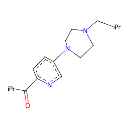 CC(C)CN1CCN(c2ccc(C(=O)C(C)C)nc2)CC1